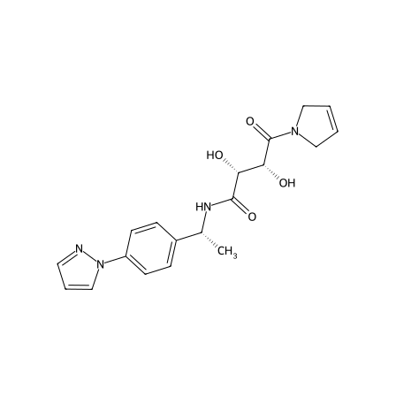 C[C@@H](NC(=O)[C@H](O)[C@@H](O)C(=O)N1CC=CC1)c1ccc(-n2cccn2)cc1